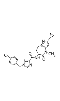 CN1C(=O)C(NC(=O)c2ncn(Cc3ccc(Cl)cc3)n2)CCn2nc(C3CC3)cc21